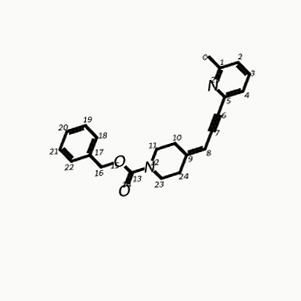 Cc1cccc(C#CC=C2CCN(C(=O)OCc3ccccc3)CC2)n1